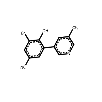 N#Cc1cc(Br)c(O)c(-c2cncc(C(F)(F)F)c2)c1